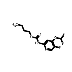 CCCCOC(=O)Nc1cc(OC(F)F)c(F)cn1